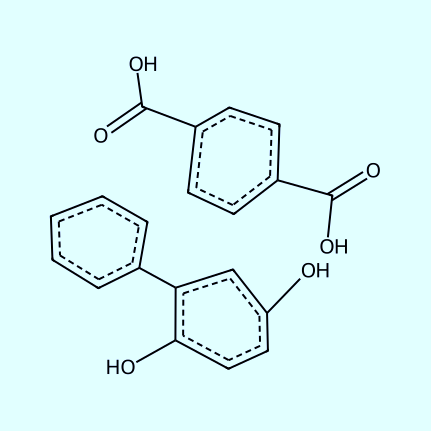 O=C(O)c1ccc(C(=O)O)cc1.Oc1ccc(O)c(-c2ccccc2)c1